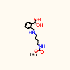 CC(C)(C)OC(=O)NCCCCNCc1ccccc1B(O)O